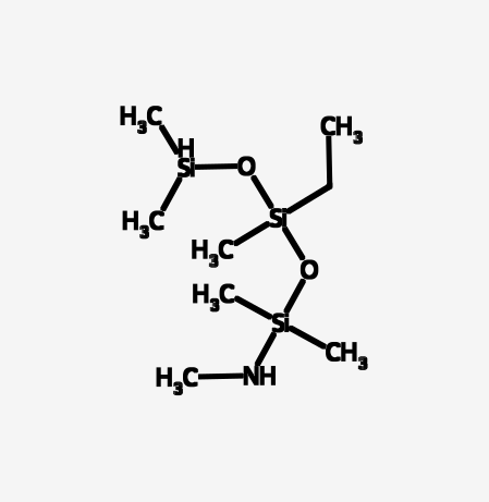 CC[Si](C)(O[SiH](C)C)O[Si](C)(C)NC